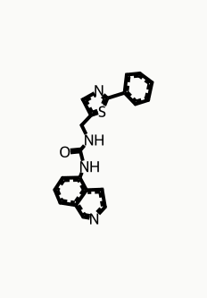 O=C(NCc1cnc(-c2ccccc2)s1)Nc1cccc2cnccc12